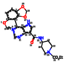 CCCOc1ccc2c(c1-c1ncnc3c(C(=O)NC4CCN(C(=O)OCC)CC4)c[nH]c13)OCO2